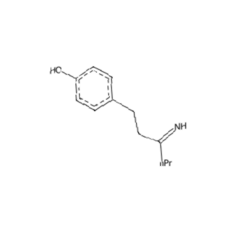 CCCC(=N)CCc1ccc(O)cc1